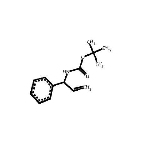 C=CC(NC(=O)OC(C)(C)C)c1ccccc1